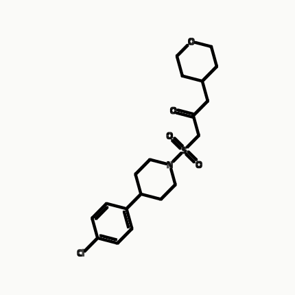 O=C(CC1CCOCC1)CS(=O)(=O)N1CCC(c2ccc(Cl)cc2)CC1